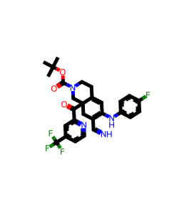 CC(C)(C)OC(=O)N1CCC2=CC(Nc3ccc(F)cc3)=C(C=N)CC2(C(=O)c2cc(C(F)(F)F)ccn2)C1